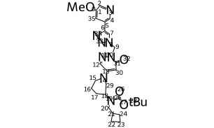 COc1cncc(-c2cn(Cn3ncc(N4CCC[C@@H](N(CC5CCC5)C(=O)OC(C)(C)C)C4)cc3=O)nn2)c1